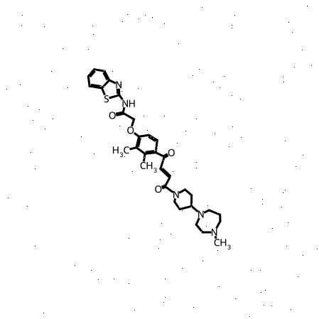 Cc1c(OCC(=O)Nc2nc3ccccc3s2)ccc(C(=O)C=CC(=O)N2CCC(N3CCCN(C)CC3)CC2)c1C